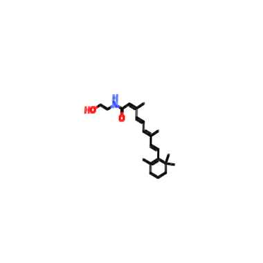 CC1=C(/C=C/C(C)=C/C=C/C(C)=C\C(=O)NCCO)C(C)(C)CCC1